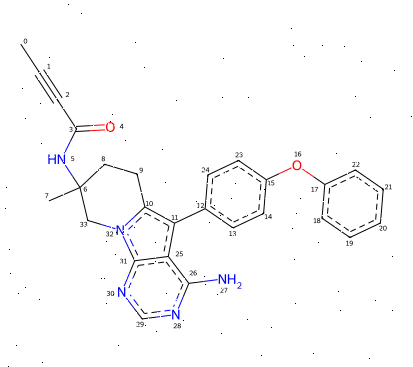 CC#CC(=O)NC1(C)CCc2c(-c3ccc(Oc4ccccc4)cc3)c3c(N)ncnc3n2C1